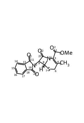 COC(=O)C1=C(C)CS[C@@H]2C(N3C(=O)c4ccccc4C3=O)C(=O)N12